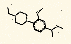 CCN1CCN(c2ccc(C(C)SC)cc2OC)CC1